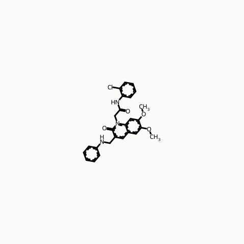 COc1cc2cc(CNc3ccccc3)c(=O)n(CC(=O)Nc3ccccc3Cl)c2cc1OC